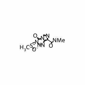 CNC(=O)c1ncn2c(=O)n(C[S+](C)[O-])nnc12